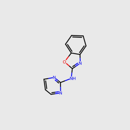 c1cnc(Nc2nc3ccccc3o2)nc1